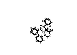 O=C1OC[C@@H](c2ccccc2)N2[C@@H](c3ccncc3)O[C@@H](c3ccncc3)[C@H]12